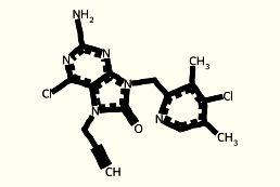 C#CCn1c(=O)n(Cc2ncc(C)c(Cl)c2C)c2nc(N)nc(Cl)c21